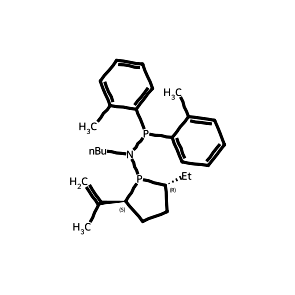 C=C(C)[C@@H]1CC[C@@H](CC)P1N(CCCC)P(c1ccccc1C)c1ccccc1C